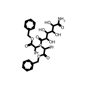 CC(C)C(C(=O)OCc1ccccc1)N(C(=O)C(O)C(O)C(O)C(O)C(N)=O)C(C(=O)OCc1ccccc1)C(C)C